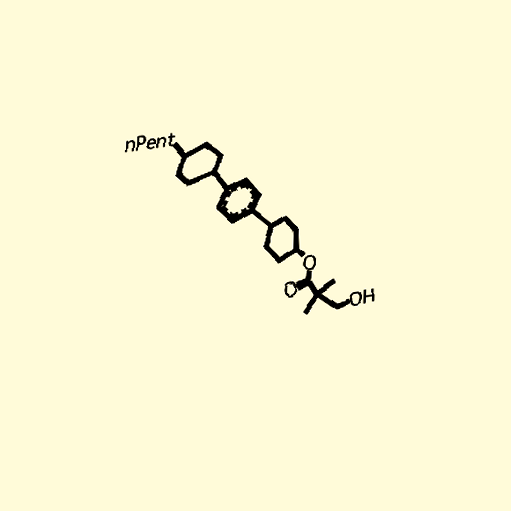 CCCCCC1CCC(c2ccc(C3CCC(OC(=O)C(C)(C)CO)CC3)cc2)CC1